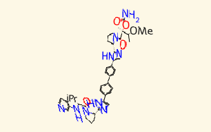 CO[C@H](C)[C@](C)(OC(N)=O)C(=O)N1CCC[C@H]1c1ncc(-c2ccc(-c3ccc(-c4cnc([C@@H]5CCCN5C(=O)[C@@H](Nc5cccnc5)C(C)C)[nH]4)cc3)cc2)[nH]1